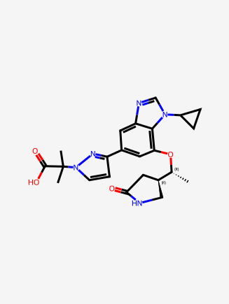 C[C@@H](Oc1cc(-c2ccn(C(C)(C)C(=O)O)n2)cc2ncn(C3CC3)c12)[C@H]1CNC(=O)C1